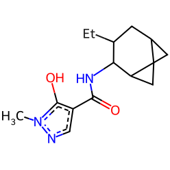 CCC1CC2CC23CC3C1NC(=O)c1cnn(C)c1O